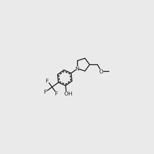 COCC1CCN(c2ccc(C(F)(F)F)c(O)c2)C1